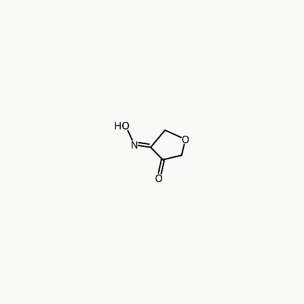 O=C1COCC1=NO